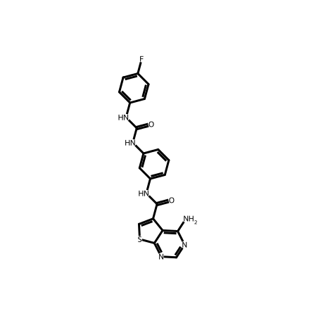 Nc1ncnc2scc(C(=O)Nc3cccc(NC(=O)Nc4ccc(F)cc4)c3)c12